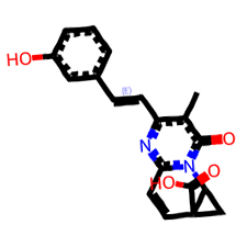 Cc1c(/C=C/c2cccc(O)c2)nc2n(c1=O)C1CC1(C(=O)O)C=C2